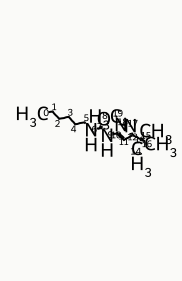 CCCCCCNC(=O)Nc1cc(C(C)(C)C)nn1C